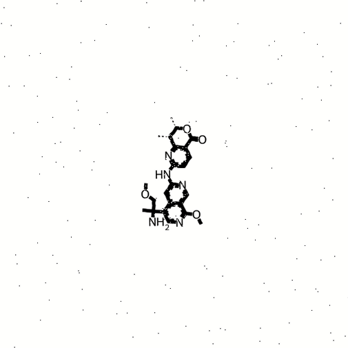 COCC(C)(N)c1cnc(OC)c2cnc(Nc3ccc4c(n3)[C@H](C)[C@H](C)OC4=O)cc12